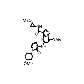 CNc1cc(Nc2cccn([C@H]3CC[C@H](OC)CC3)c2=O)nc2c(C(=O)NC3C[C@@H]3OC)cnn12